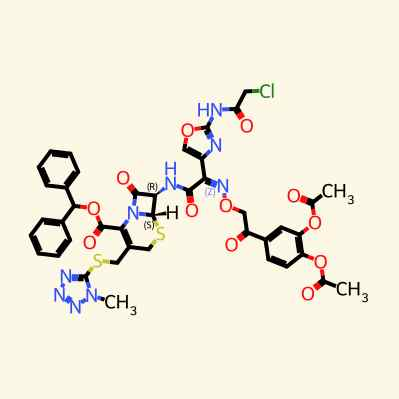 CC(=O)Oc1ccc(C(=O)CO/N=C(\C(=O)N[C@@H]2C(=O)N3C(C(=O)OC(c4ccccc4)c4ccccc4)=C(CSc4nnnn4C)CS[C@@H]23)c2coc(NC(=O)CCl)n2)cc1OC(C)=O